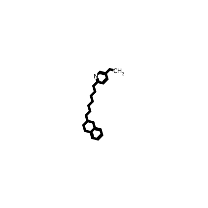 CCc1ccc(CCCCCCCC2CCc3ccccc3C2)nc1